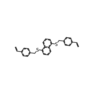 C=Cc1ccc(CSc2cccc3c(SCc4ccc(C=C)cc4)cccc23)cc1